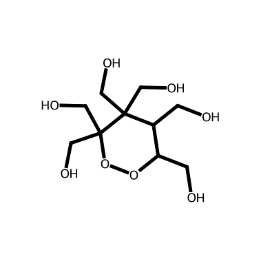 OCC1OOC(CO)(CO)C(CO)(CO)C1CO